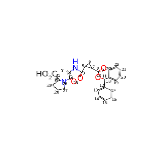 C[C@H](NC(=O)C1CC1C(=O)OC(c1ccccc1)c1ccccc1)C(=O)N1CCC[C@H]1C(=O)O